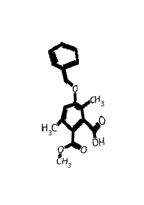 COC(=O)c1c(C)cc(OCc2ccccc2)c(C)c1C(=O)O